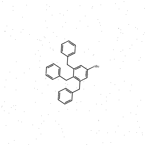 [CH2]CCCc1cc(Cc2ccccc2)c(Cc2ccccc2)c(Cc2ccccc2)c1